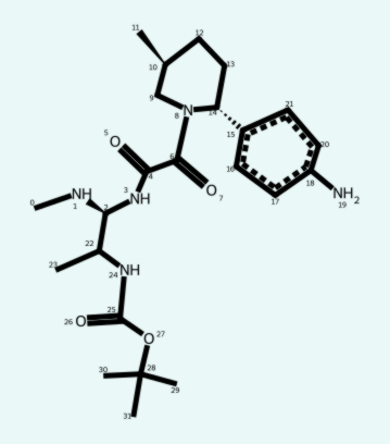 CN[C@@H](NC(=O)C(=O)N1C[C@@H](C)CC[C@@H]1c1ccc(N)cc1)C(C)NC(=O)OC(C)(C)C